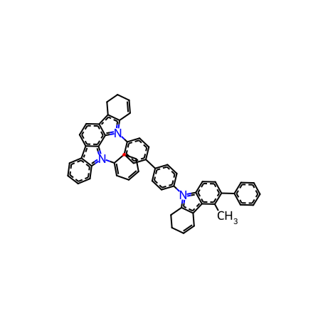 Cc1c(-c2ccccc2)ccc2c1c1c(n2-c2ccc(-c3ccc(-n4c5c(c6ccc7c8ccccc8n(C8=CC=CCC8)c7c64)CCC=C5)cc3)cc2)CCC=C1